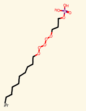 CC(C)CCCCCCCCCOOOOOCCCOP(=O)(O)O